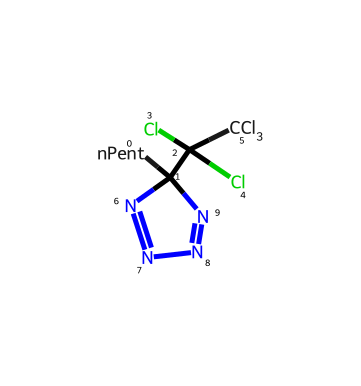 CCCCCC1(C(Cl)(Cl)C(Cl)(Cl)Cl)N=NN=N1